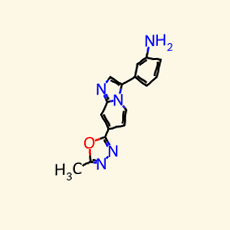 Cc1nnc(-c2ccn3c(-c4cccc(N)c4)cnc3c2)o1